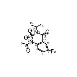 CC(=O)N1c2ccc(F)cc2C(=O)N(C(C)C)S1(=O)=O